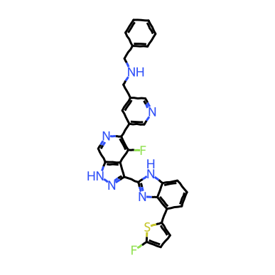 Fc1ccc(-c2cccc3[nH]c(-c4n[nH]c5cnc(-c6cncc(CNCc7ccccc7)c6)c(F)c45)nc23)s1